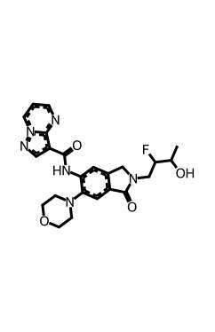 CC(O)C(F)CN1Cc2cc(NC(=O)c3cnn4cccnc34)c(N3CCOCC3)cc2C1=O